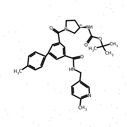 Cc1ccc(-c2cc(C(=O)NCc3ccc(C)nc3)cc(C(=O)N3CC[C@@H](NC(=O)OC(C)(C)C)C3)c2)cc1